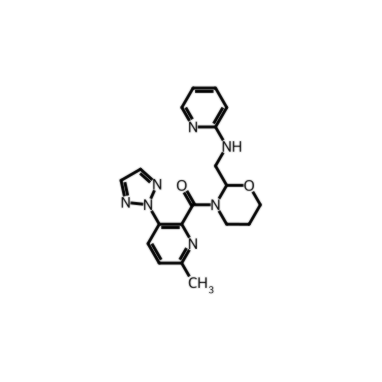 Cc1ccc(-n2nccn2)c(C(=O)N2CCCOC2CNc2ccccn2)n1